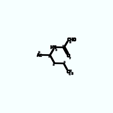 CC(=O)C(CCC(F)(F)F)NC(=O)C=O